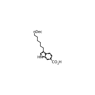 CCCCCCCCCCCCCCCCc1c[nH]c2cc(C(=O)O)ccc12